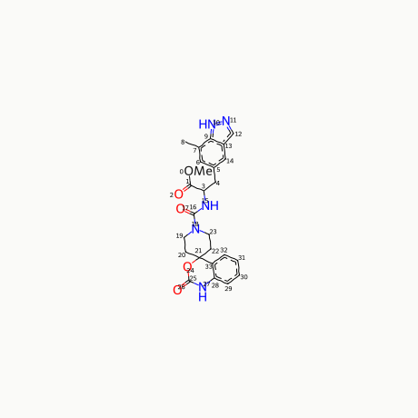 COC(=O)C(Cc1cc(C)c2[nH]ncc2c1)NC(=O)N1CCC2(CC1)OC(=O)Nc1ccccc12